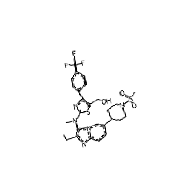 CCc1nc2ccc(C3CCN(S(C)(=O)=O)CC3)cn2c1N(C)c1nc(-c2ccc(C(F)(F)F)cc2)c(CO)s1